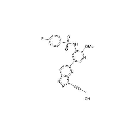 COc1ncc(-c2ccc3nnc(C#CCO)n3n2)cc1NS(=O)(=O)c1ccc(F)cc1